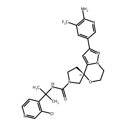 CC(C)(NC(=O)N1CC[C@]2(C1)OCCn1nc(-c3cnc(N)c(C(F)(F)F)c3)cc12)c1ccncc1Cl